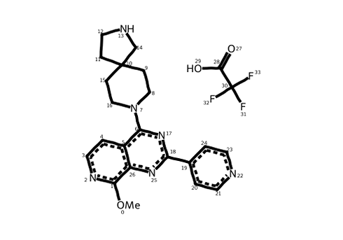 COc1nccc2c(N3CCC4(CCNC4)CC3)nc(-c3ccncc3)nc12.O=C(O)C(F)(F)F